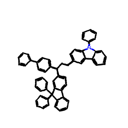 c1ccc(-c2ccc(C(CCc3ccc4c(c3)c3ccccc3n4-c3ccccc3)c3ccc4c(c3)C(c3ccccc3)(c3ccccc3)c3ccccc3-4)cc2)cc1